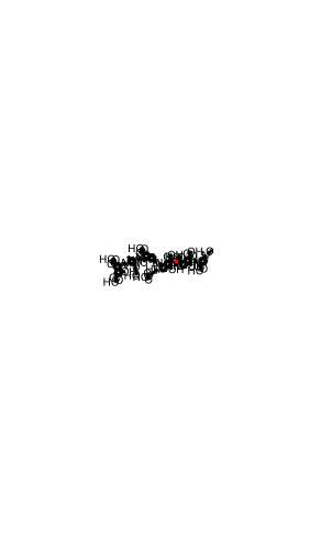 COC=Nc1ccc(S(=O)(=O)O)c(N=Nc2c(S(=O)(=O)O)cc3c(S(=O)(=O)O)c(N=Nc4c(S(=O)(=O)O)cc5c(N=Nc6ccc7cc(S(=O)(=O)O)c(N=Nc8cc(C)c(N=Nc9cc(S(=O)(=O)O)cc%10cc(S(=O)(=O)O)cc(O)c9%10)cc8OCCO)c(O)c7c6)c(NCCCS(=O)(=O)O)ccc5c4O)ccc3c2O)c1